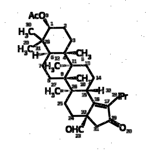 CC(=O)O[C@H]1CC[C@@]2(C)[C@@H](CC[C@]3(C)[C@]2(C)CC[C@@H]2C4=C(C(C)C)C(=O)C[C@]4(C=O)CC[C@]23C)C1(C)C